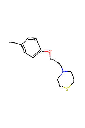 Cc1ccc(OCCN2CCSCC2)cc1